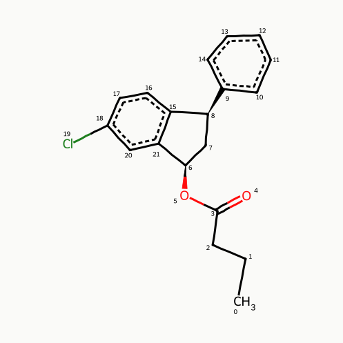 CCCC(=O)O[C@@H]1C[C@H](c2ccccc2)c2ccc(Cl)cc21